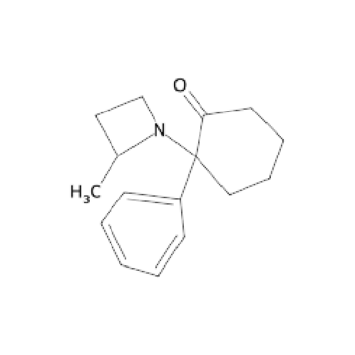 CC1CCN1C1(c2ccccc2)CCCCC1=O